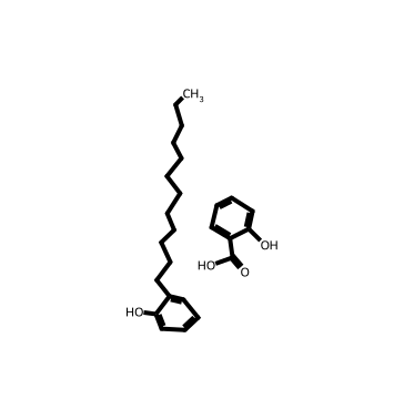 CCCCCCCCCCCCc1ccccc1O.O=C(O)c1ccccc1O